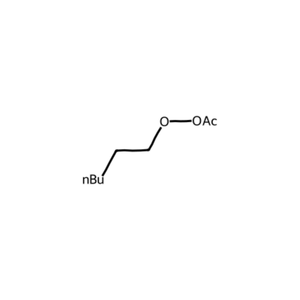 CCCCCCOOC(C)=O